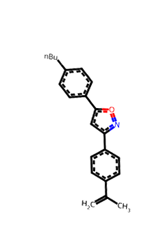 C=C(C)c1ccc(-c2cc(-c3ccc(CCCC)cc3)on2)cc1